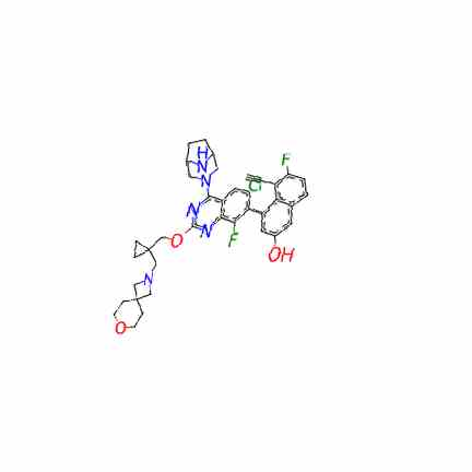 C#Cc1c(F)ccc2cc(O)cc(-c3c(Cl)cc4c(N5CC6CCC(C5)N6)nc(OCC5(CN6CC7(CCOCC7)C6)CC5)nc4c3F)c12